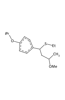 CCSC(CC(C)OC)c1ccc(OC(C)C)cc1